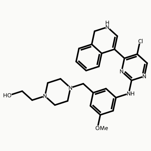 COc1cc(CN2CCN(CCO)CC2)cc(Nc2ncc(Cl)c(C3=CNCc4ccccc43)n2)c1